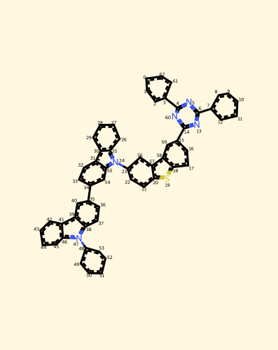 c1ccc(-c2nc(-c3ccccc3)nc(-c3ccc4sc5ccc(-n6c7ccccc7c7ccc(-c8ccc9c(c8)c8ccccc8n9-c8ccccc8)cc76)cc5c4c3)n2)cc1